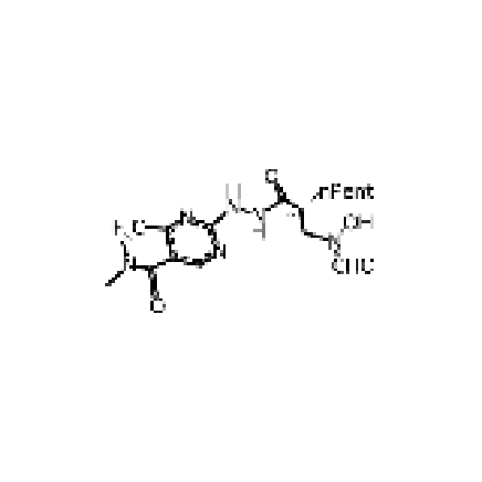 CCCCC[C@H](CN(O)C=O)C(=O)NNc1ncc(C(=O)N(C)C)c(C(F)(F)F)n1